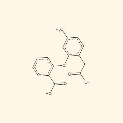 Cc1ccc(CC(=O)O)c(Oc2ccccc2C(=O)O)c1